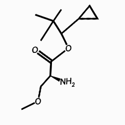 COC[C@H](N)C(=O)OC(C1CC1)C(C)(C)C